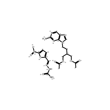 CC(=O)OCC(CCn1cnc2cnc(N)nc21)COC(C)=O.NC(=O)N/N=C/c1ccc([N+](=O)[O-])o1